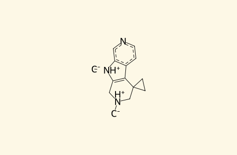 [CH2-][NH+]1CC2=C(c3ccncc3[NH+]2[CH2-])C2(CC2)C1